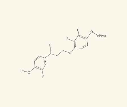 CCCCCOc1ccc(OCCC(F)c2ccc(OCC)c(F)c2)c(F)c1F